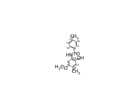 COc1cc(NC(=O)c2ccc(C)cc2)c(O)cc1C